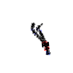 CCCCC/C=C\C/C=C\CCCCCCCCC1(CCCCCCCC/C=C/CC/C=C\CCCCC)O[C@H]2CC(OC(=O)CCN(C)C)C[C@H]2O1